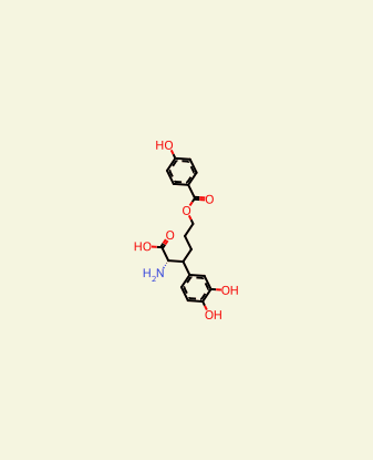 N[C@H](C(=O)O)C(CCCOC(=O)c1ccc(O)cc1)c1ccc(O)c(O)c1